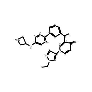 CCn1cc(-n2ccc(=O)c(C(C)c3cccc(-c4ncc(OC5CNC5)cn4)c3)n2)cn1